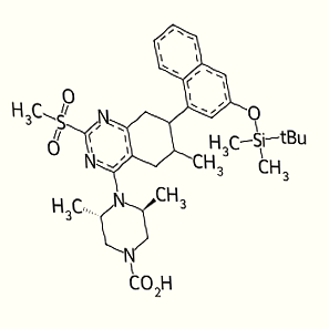 CC1Cc2c(nc(S(C)(=O)=O)nc2N2[C@@H](C)CN(C(=O)O)C[C@@H]2C)CC1c1cc(O[Si](C)(C)C(C)(C)C)cc2ccccc12